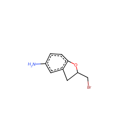 Nc1ccc2c(c1)CC(CBr)O2